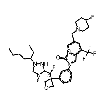 CCCCC(CC)N1CN(C)C([C@@H](F)C2(c3cccc(-n4cc5c(C(F)(F)F)cc(CN6CCC(F)CC6)cn5c4=O)c3)COC2)N1